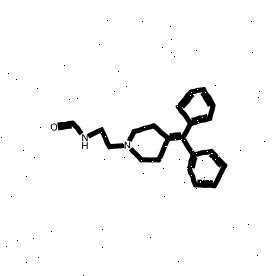 O=CNCCN1CCC(=C(c2ccccc2)c2ccccc2)CC1